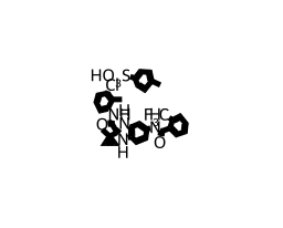 Cc1c(Cl)cccc1NC(=O)C1(C2(C)CC2)Nc2ccc(NC(=O)c3ccccc3C(F)(F)F)cc2N1.Cc1ccc(S(=O)(=O)O)cc1